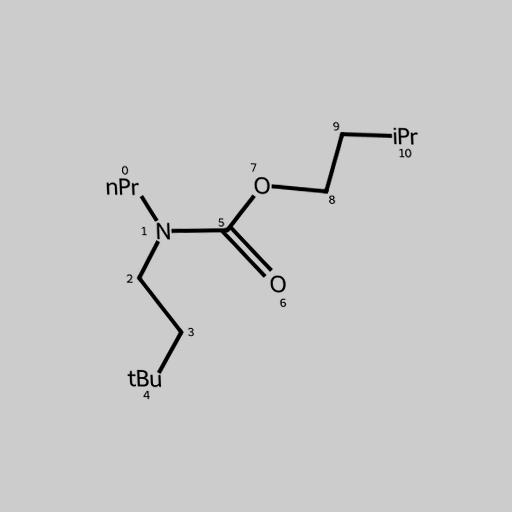 CCCN(CCC(C)(C)C)C(=O)OCCC(C)C